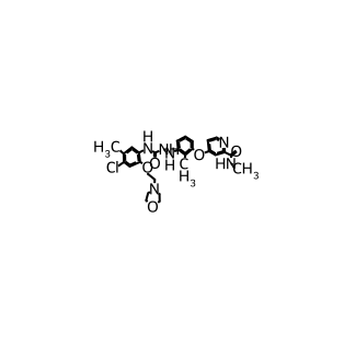 CNC(=O)c1cc(Oc2cccc(NNC(=O)Nc3cc(C)c(Cl)cc3OCCN3CCOCC3)c2C)ccn1